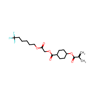 C=C(C)C(=O)OC1CCC(C(=O)OCC(=O)OCCCCCC(F)(F)F)CC1